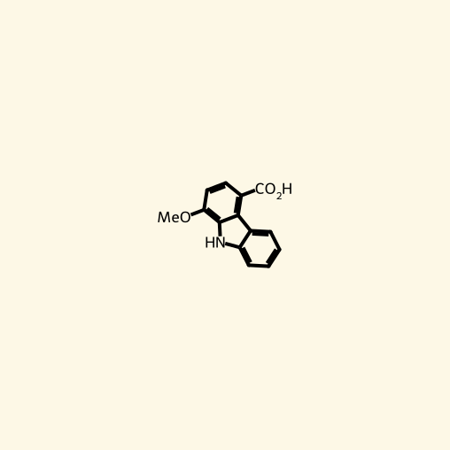 COc1ccc(C(=O)O)c2c1[nH]c1ccccc12